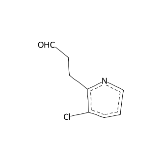 O=CCCc1ncccc1Cl